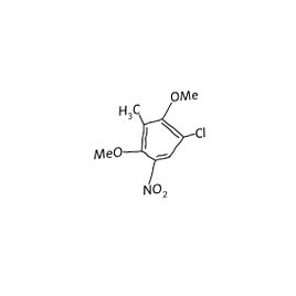 COc1c(Cl)cc([N+](=O)[O-])c(OC)c1C